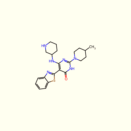 CC1CCN(c2nc(NC3CCCNC3)c(-c3nc4ccccc4s3)c(=O)[nH]2)CC1